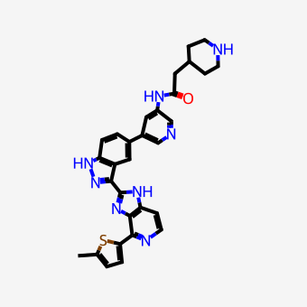 Cc1ccc(-c2nccc3[nH]c(-c4n[nH]c5ccc(-c6cncc(NC(=O)CC7CCNCC7)c6)cc45)nc23)s1